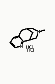 CN1CC2Cc3cccnc3C(C2)C1.Cl.Cl